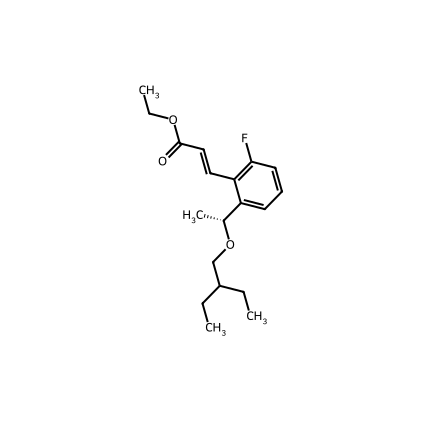 CCOC(=O)/C=C/c1c(F)cccc1[C@@H](C)OCC(CC)CC